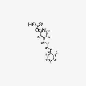 Cc1ccccc1CCCCc1ccnc(OC(=O)O)c1